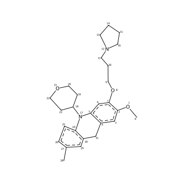 COc1cc2c(cc1OCCCN1CCCC1)N(C1CCOCC1)c1ccc(C)cc1C2